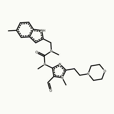 Cc1ccc2[nH]c(CN(C)C(=O)N(C)c3nc(CCN4CCOCC4)n(C)c3C=O)cc2c1